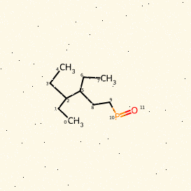 CCC(CC)C(CC)CCP=O